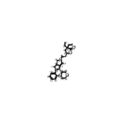 CCC1(CC)CC(CCN2CC3CN(c4ccccc4N4CCOCC4)CC3C2)OC1=O